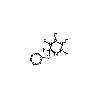 FN1P(F)N=P(F)(Oc2ccccc2)N(F)P1F